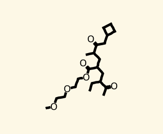 CCC(CC(CC(C)C(=O)CC1CCC1)C(=O)OCCOCCOC)C(C)=O